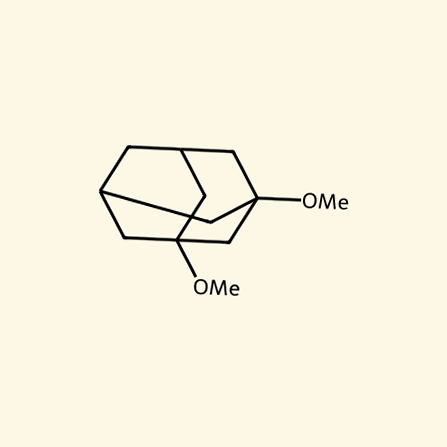 COC12CC3CC(C1)CC(OC)(C3)C2